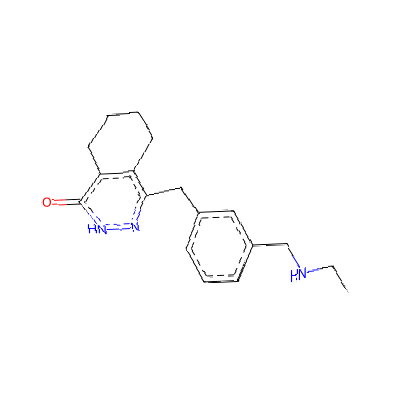 CCNCc1cccc(Cc2n[nH]c(=O)c3c2CCCC3)c1